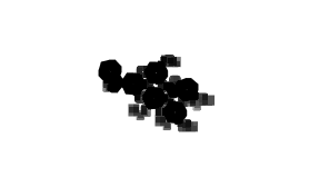 Cc1cc2c3c(c1)N(c1c(C)cc(C(C)(C)C)cc1C)c1c(oc4ccc(C(C)(C)C)cc14)B3c1cc(C(C)(C)C)ccc1N2c1c(C)cc(-c2csc3ccccc23)cc1C